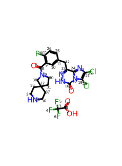 O=C(O)C(F)(F)F.O=C(c1cc(Cc2n[nH]c(=O)n3c(Cl)c(Cl)nc23)ccc1F)N1CCC2(CCNCC2)C1